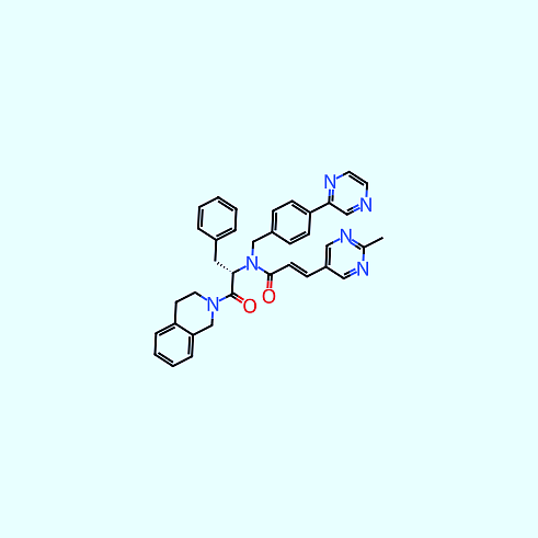 Cc1ncc(C=CC(=O)N(Cc2ccc(-c3cnccn3)cc2)[C@@H](Cc2ccccc2)C(=O)N2CCc3ccccc3C2)cn1